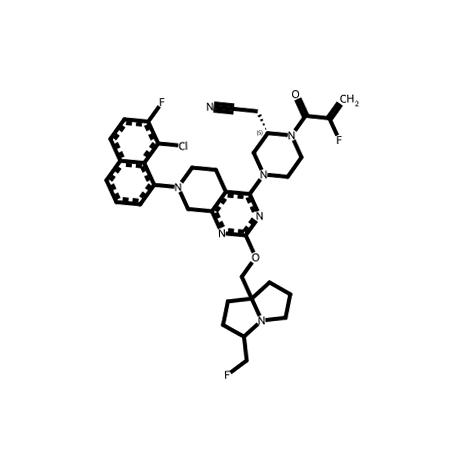 C=C(F)C(=O)N1CCN(c2nc(OCC34CCCN3C(CF)CC4)nc3c2CCN(c2cccc4ccc(F)c(Cl)c24)C3)C[C@@H]1CC#N